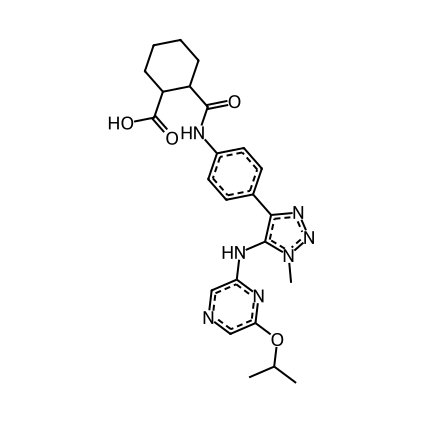 CC(C)Oc1cncc(Nc2c(-c3ccc(NC(=O)C4CCCCC4C(=O)O)cc3)nnn2C)n1